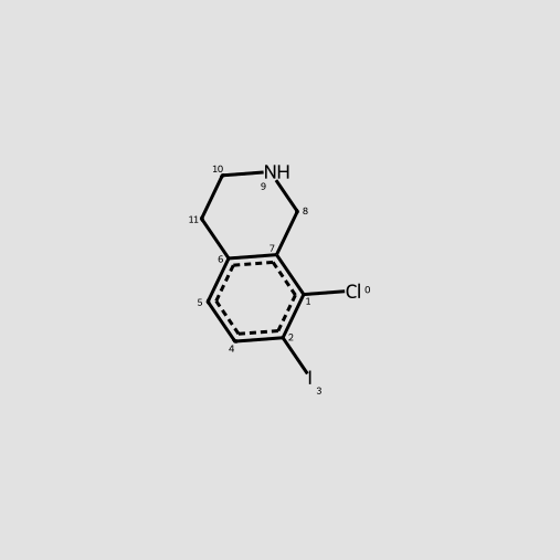 Clc1c(I)ccc2c1CNCC2